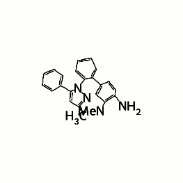 CNc1cc(-c2ccccc2-n2nc(C)cc2-c2ccccc2)ccc1N